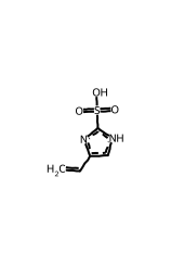 C=Cc1c[nH]c(S(=O)(=O)O)n1